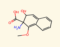 COC1=c2ccccc2=CC(O)C1(N)C(=O)O